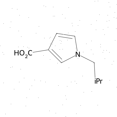 CC(C)Cn1ccc(C(=O)O)c1